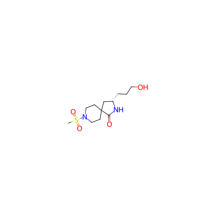 CS(=O)(=O)N1CCC2(CC1)C[C@H](CCCO)NC2=O